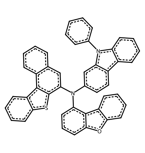 c1ccc(-n2c3ccccc3c3ccc(N(c4cc5ccccc5c5c4sc4ccccc45)c4cccc5oc6ccccc6c45)cc32)cc1